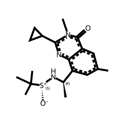 Cc1cc([C@@H](C)N[S@+]([O-])C(C)(C)C)c2nc(C3CC3)n(C)c(=O)c2c1